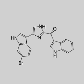 O=C(c1nc(-c2c[nH]c3cc(Br)ccc23)c[nH]1)c1c[nH]c2ccccc12